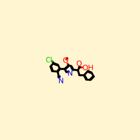 COc1cc(C(Cc2ccccc2)C(=O)O)ncc1-c1cc(Cl)ccc1C#N